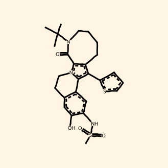 CC(C)(C)N1CCCCc2c(-c3cccs3)c3n(c2C1=O)CCc1cc(O)c(NS(C)(=O)=O)cc1-3